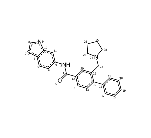 O=C(Nc1ccc2scnc2c1)c1ccc(-c2ccccc2)c(CN2CCCC2)c1